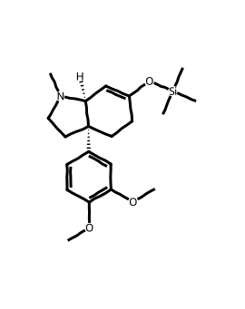 COc1ccc([C@@]23CCC(O[Si](C)(C)C)=C[C@@H]2N(C)CC3)cc1OC